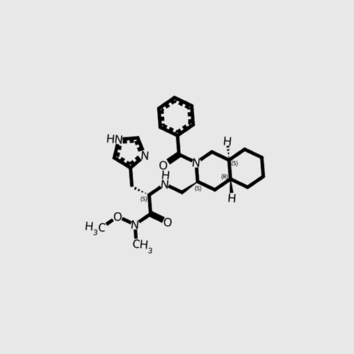 CON(C)C(=O)[C@H](Cc1c[nH]cn1)NC[C@@H]1C[C@H]2CCCC[C@@H]2CN1C(=O)c1ccccc1